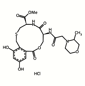 COC(=O)[C@@H]1CSCc2c(O)cc(O)cc2C(=O)OC[C@H](NC(=O)CN2CCOCC2C)C(=O)N1.Cl